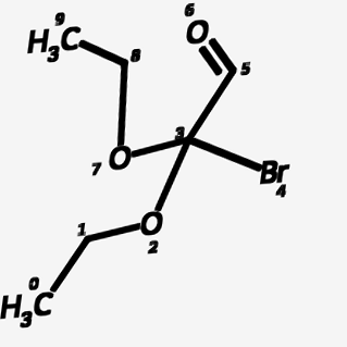 CCOC(Br)(C=O)OCC